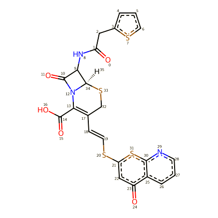 O=C(Cc1cccs1)NC1C(=O)N2C(C(=O)O)=C(/C=C/Sc3cc(=O)c4cccnc4s3)CS[C@H]12